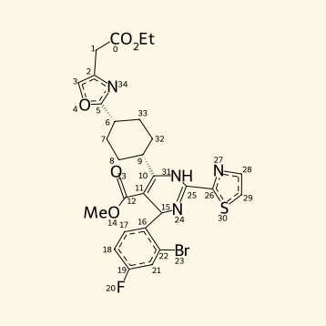 CCOC(=O)Cc1coc([C@H]2CC[C@@H](C3=C(C(=O)OC)C(c4ccc(F)cc4Br)N=C(c4nccs4)N3)CC2)n1